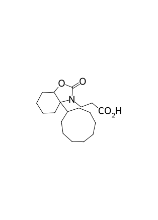 O=C(O)CCN1C(=O)OC2CCCCC21C1CCCCCCCC1